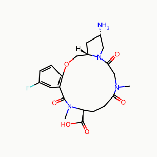 CN1CC(=O)N2C[C@@H](N)C[C@H]2COc2ccc(F)cc2C(=O)N(C)[C@H](C(=O)O)CCC1=O